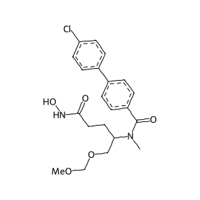 COCOCC(CCC(=O)NO)N(C)C(=O)c1ccc(-c2ccc(Cl)cc2)cc1